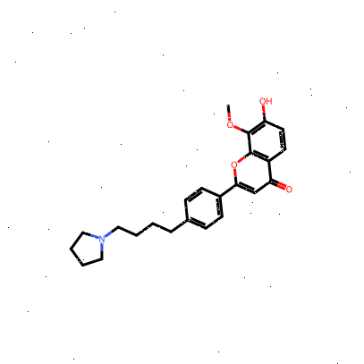 COc1c(O)ccc2c(=O)cc(-c3ccc(CCCCN4CCCC4)cc3)oc12